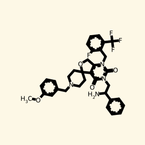 COc1cccc(CN2CCC3(CC2)OCc2c3c(=O)n(CC(N)c3ccccc3)c(=O)n2Cc2c(F)cccc2C(F)(F)F)c1